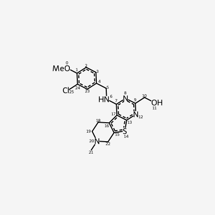 COc1ccc(CNc2nc(CO)nc3sc4c(c23)CCN(C)C4)cc1Cl